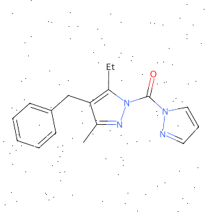 CCc1c(Cc2ccccc2)c(C)nn1C(=O)n1cccn1